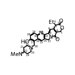 CCC1C(=O)OCc2c1cc1n(c2=O)Cc2cc3c(CN4CCC(NC)CC4)c(O)ccc3nc2-1